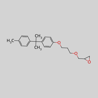 Cc1ccc(C(C)(C)c2ccc(OCCCOCC3CO3)cc2)cc1